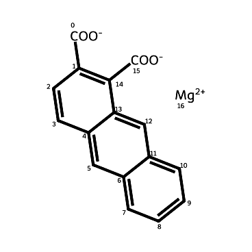 O=C([O-])c1ccc2cc3ccccc3cc2c1C(=O)[O-].[Mg+2]